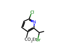 CCOC(=O)c1ccc(Cl)nc1C(C)Br